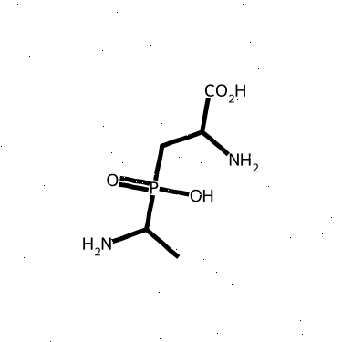 CC(N)P(=O)(O)CC(N)C(=O)O